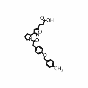 Cc1ccc(COc2ccc(CC(=O)N3CCCC3c3cc(CCC(=O)O)on3)cc2)cc1